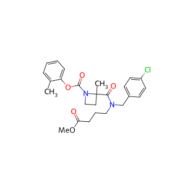 COC(=O)CCCN(Cc1ccc(Cl)cc1)C(=O)C1(C)CCN1C(=O)Oc1ccccc1C